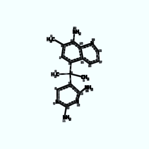 Cc1cc(C(C)(C)c2cnc(N)nc2N)c2cccnc2c1N